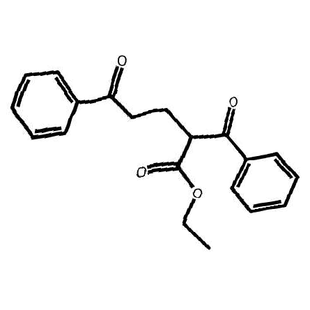 CCOC(=O)C(CCC(=O)c1ccccc1)C(=O)c1ccccc1